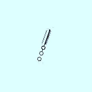 CCC[C@H]1CC[C@H](C2CCC(c3ccc(C(F)(F)C(F)(F)C(F)(F)C(F)(F)C(F)(F)C(F)(F)C(F)(F)C(F)(F)C(F)(F)F)cc3)CC2)CC1